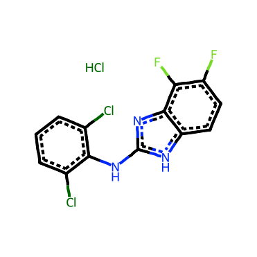 Cl.Fc1ccc2[nH]c(Nc3c(Cl)cccc3Cl)nc2c1F